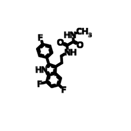 CNC(=O)C(=O)NCCc1c(-c2ccc(F)cc2)[nH]c2c(F)cc(F)cc12